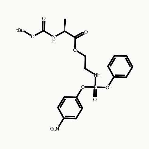 C[C@H](NC(=O)OC(C)(C)C)C(=O)OCCNP(=O)(Oc1ccccc1)Oc1ccc([N+](=O)[O-])cc1